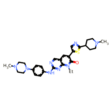 CCn1c(=O)c(-c2cnc(C3CCN(C)CC3)s2)cc2cnc(Nc3ccc(N4CCN(C)CC4)cc3)nc21